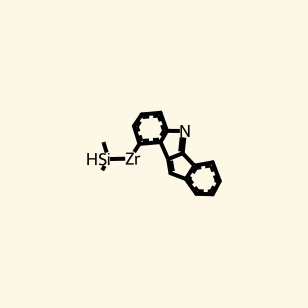 C[SiH](C)[Zr][c]1cccc2c1C1=Cc3ccccc3C1=N2